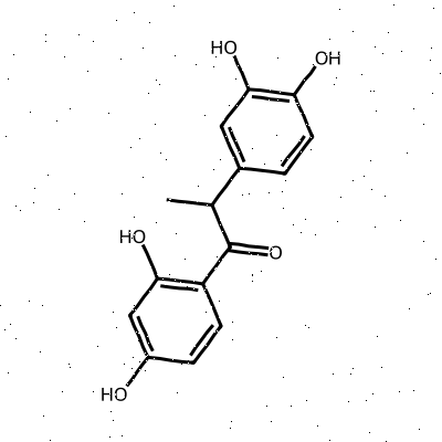 CC(C(=O)c1ccc(O)cc1O)c1ccc(O)c(O)c1